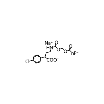 CCCC(=O)OCOC(=O)NCCC(C(=O)[O-])c1ccc(Cl)cc1.[Na+]